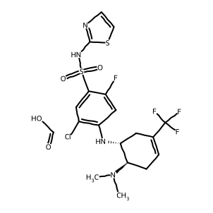 CN(C)[C@@H]1CC=C(C(F)(F)F)C[C@H]1Nc1cc(F)c(S(=O)(=O)Nc2nccs2)cc1Cl.O=CO